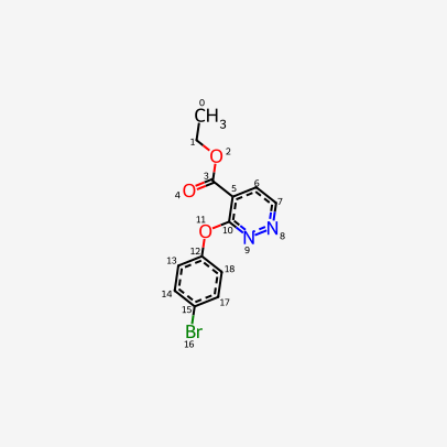 CCOC(=O)c1ccnnc1Oc1ccc(Br)cc1